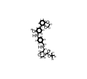 COc1cc(-c2cccc3c2OCCO3)ccc1Nc1ccc(CNCC2COCCN2C(=O)OC(C)(C)C)cc1